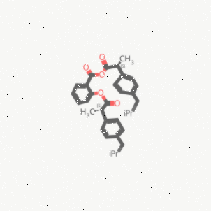 CC(C)Cc1ccc([C@H](C)C(=O)OC(=O)c2ccccc2OC(=O)[C@@H](C)c2ccc(CC(C)C)cc2)cc1